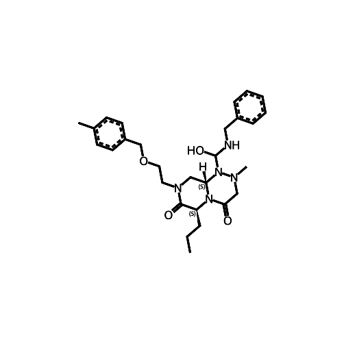 CCC[C@H]1C(=O)N(CCOCc2ccc(C)cc2)C[C@H]2N1C(=O)CN(C)N2C(O)NCc1ccccc1